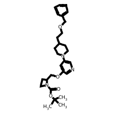 CC(C)(C)OC(=O)N1CCC1COc1cncc(N2CCC(CCOCc3ccccc3)CC2)c1